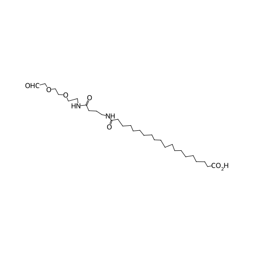 O=CCOCCOCCNC(=O)CCCNC(=O)CCCCCCCCCCCCCCCCCCC(=O)O